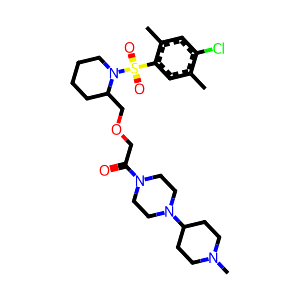 Cc1cc(S(=O)(=O)N2CCCCC2COCC(=O)N2CCN(C3CCN(C)CC3)CC2)c(C)cc1Cl